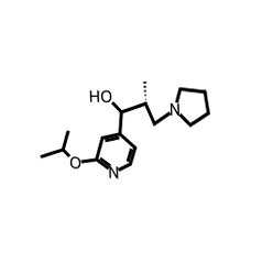 CC(C)Oc1cc(C(O)[C@H](C)CN2CCCC2)ccn1